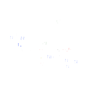 O=S(=O)(CCCn1cncn1)NCC(O)(Cn1cncn1)c1ccc(Cl)cc1Cl